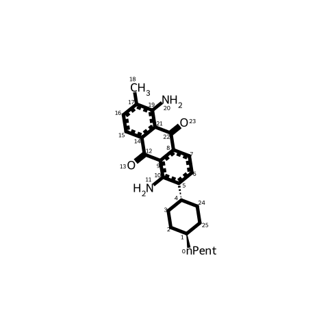 CCCCC[C@H]1CC[C@H](c2ccc3c(c2N)C(=O)c2ccc(C)c(N)c2C3=O)CC1